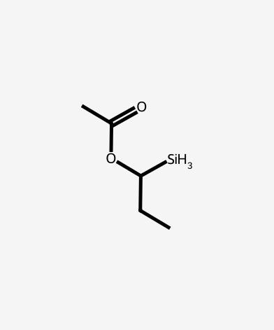 CCC([SiH3])OC(C)=O